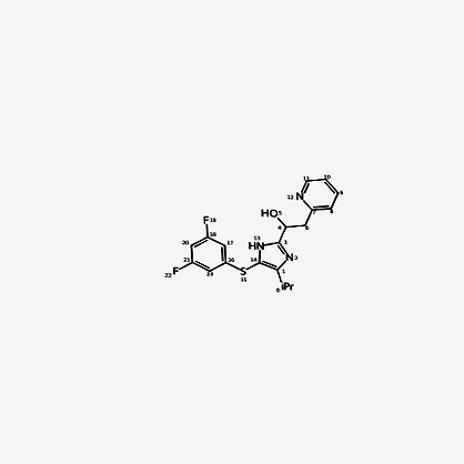 CC(C)c1nc(C(O)Cc2ccccn2)[nH]c1Sc1cc(F)cc(F)c1